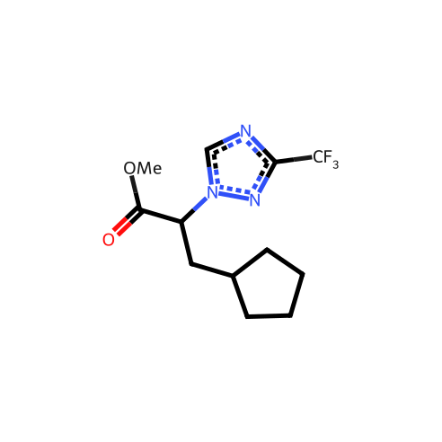 COC(=O)C(CC1CCCC1)n1cnc(C(F)(F)F)n1